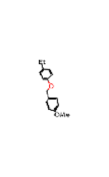 CCc1ccc(OCc2ccc(OC)cc2)cc1